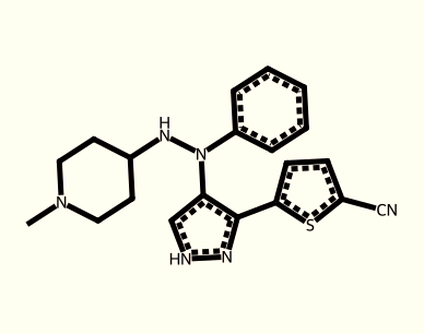 CN1CCC(NN(c2ccccc2)c2c[nH]nc2-c2ccc(C#N)s2)CC1